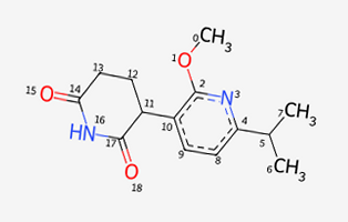 COc1nc(C(C)C)ccc1C1CCC(=O)NC1=O